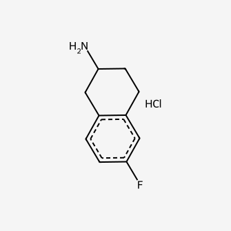 Cl.NC1CCc2cc(F)ccc2C1